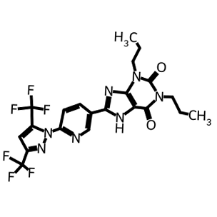 CCCn1c(=O)c2[nH]c(-c3ccc(-n4nc(C(F)(F)F)cc4C(F)(F)F)nc3)nc2n(CCC)c1=O